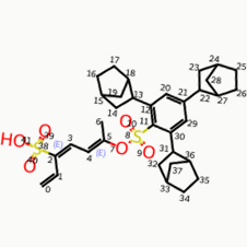 C=C/C(=C\C=C(/C)OS(=O)(=O)c1c(C2CC3CCC2C3)cc(C2CC3CCC2C3)cc1C1CC2CCC1C2)S(=O)(=O)O